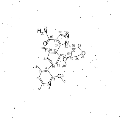 COc1nc(C)cc(C)c1-c1ccc(-c2c(C(N)=O)cnn2[C@@H]2COC[C@H]2OC)c(F)c1